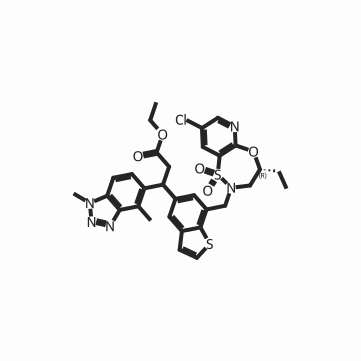 CCOC(=O)CC(c1cc(CN2C[C@@H](CC)Oc3ncc(Cl)cc3S2(=O)=O)c2sccc2c1)c1ccc2c(nnn2C)c1C